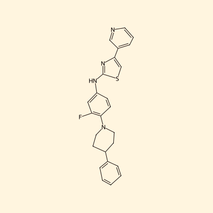 Fc1cc(Nc2nc(-c3cccnc3)cs2)ccc1N1CCC(c2ccccc2)CC1